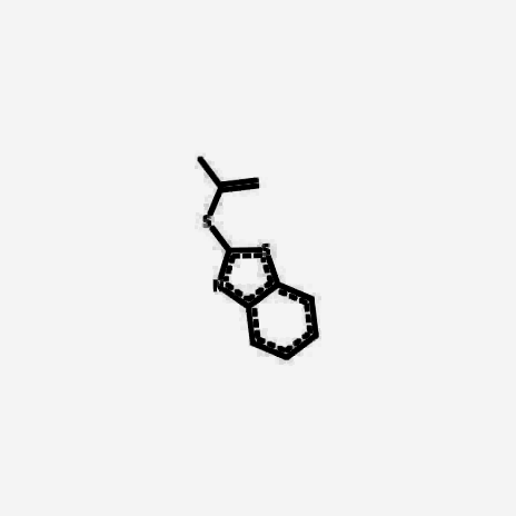 C=C(C)Sc1nc2ccccc2s1